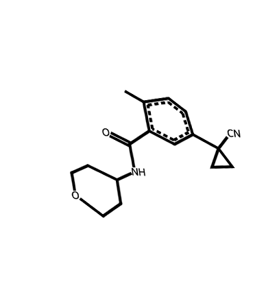 Cc1ccc(C2(C#N)CC2)cc1C(=O)NC1CCOCC1